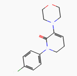 O=C1C(N2CCOCC2)=CCCN1c1ccc(Br)cc1